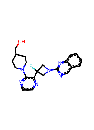 OCC1CCN(c2nccnc2C2(F)CN(c3ncc4ccccc4n3)C2)CC1